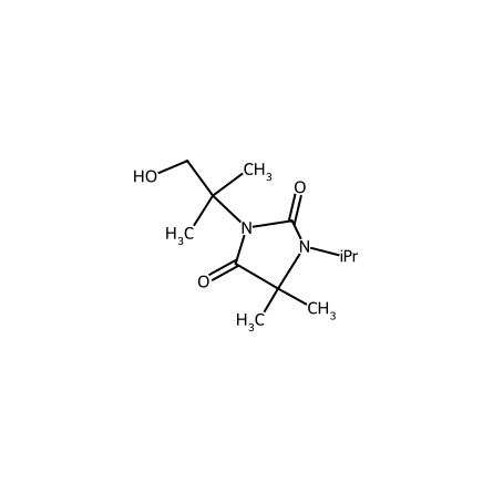 CC(C)N1C(=O)N(C(C)(C)CO)C(=O)C1(C)C